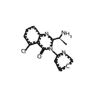 C[C@H](N)c1nc2cccc(Cl)c2c(=O)n1-c1ccccn1